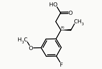 CC[C@H](CC(=O)O)c1cc(F)cc(OC)c1